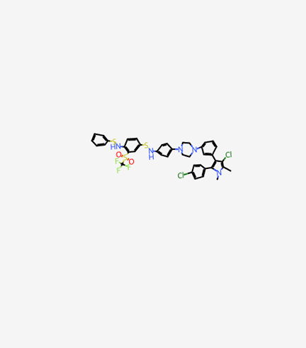 Cc1c(Cl)c(-c2cccc(N3CCN(c4ccc(NSc5ccc(NSc6ccccc6)c(S(=O)(=O)C(F)(F)F)c5)cc4)CC3)c2)c(-c2ccc(Cl)cc2)n1C